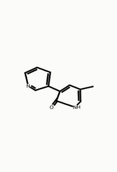 Cc1c[nH]c(=O)c(-c2cccnc2)c1